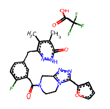 Cc1c(Cc2ccc(F)c(C(=O)N3CCn4c(nnc4-c4ccco4)C3)c2)n[nH]c(=O)c1C.O=C(O)C(F)(F)F